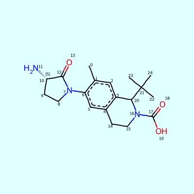 Cc1cc2c(cc1N1CC[C@H](N)C1=O)CCN(C(=O)O)C2C(C)(C)C